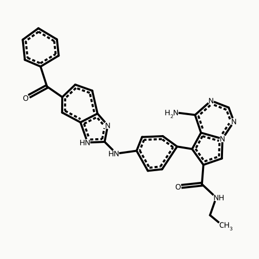 CCNC(=O)c1cn2ncnc(N)c2c1-c1ccc(Nc2nc3ccc(C(=O)c4ccccc4)cc3[nH]2)cc1